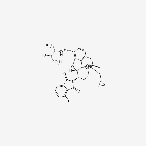 O=C(O)C(O)C(O)C(=O)O.O=C1c2cccc(F)c2C(=O)N1[C@@H]1CCC2(O)[C@H]3Cc4ccc(O)c5c4[C@@]2(CCN3CC2CC2)[C@H]1O5